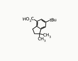 CC(C)(C)c1cc(C(=O)O)c2c(c1)C(C)(C)CC2